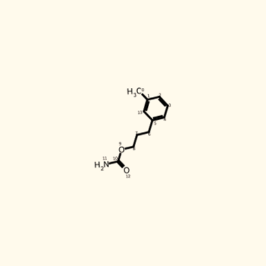 Cc1cccc(CCCOC(N)=O)c1